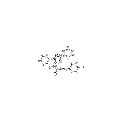 Cc1ccc(C#CC(=O)N(Cc2ccccc2)c2noc(-c3ccccc3)n2)cc1